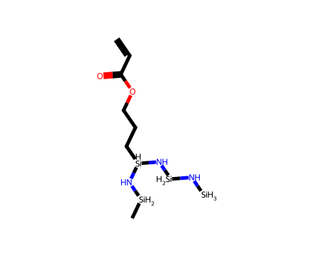 C=CC(=O)OCCC[SiH](N[SiH2]C)N[SiH2]N[SiH3]